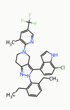 CCc1cccc(CC)c1-n1nc2c(c1-c1ccc(Cl)c3[nH]ccc13)CN(c1ncc(C(F)(F)F)cc1C)CC2